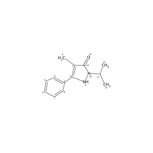 Cc1c(-c2ccccc2)[nH]n(C(C)C)c1=O